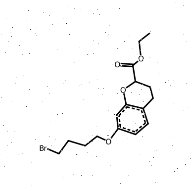 CCOC(=O)C1CCc2ccc(OCCCCBr)cc2O1